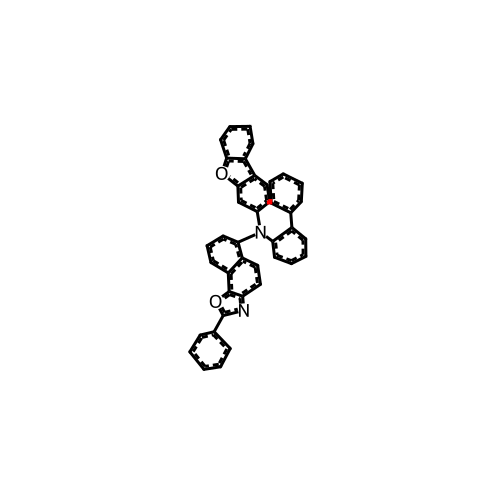 c1ccc(-c2nc3ccc4c(N(c5ccc6c(c5)oc5ccccc56)c5ccccc5-c5ccccc5)cccc4c3o2)cc1